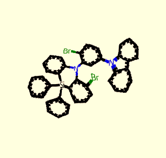 Brc1ccc(-n2c3ccccc3c3ccccc32)cc1N1c2ccccc2[Si](c2ccccc2)(c2ccccc2)c2cccc(Br)c21